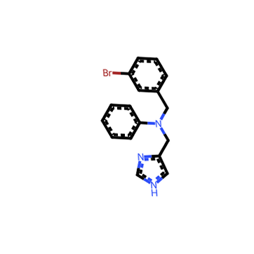 Brc1cccc(CN(Cc2c[nH]cn2)c2ccccc2)c1